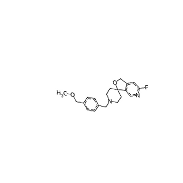 COCc1ccc(CN2CCC3(CC2)OCc2cc(F)ncc23)cc1